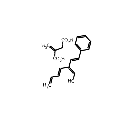 C=C(CC(=O)O)C(=O)O.C=CC=CC(C=Cc1ccccc1)=CC#N